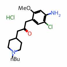 CCCCN1CCC(CC(=O)Cc2cc(Cl)c(N)cc2OC)CC1.Cl